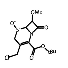 COC1C(=O)N2C(C(=O)OC(C)(C)C)=C(CCl)C[S+]([O-])C12